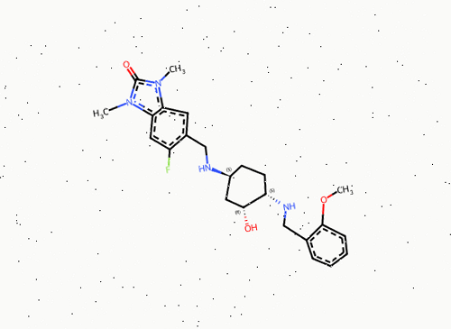 COc1ccccc1CN[C@H]1CC[C@H](NCc2cc3c(cc2F)n(C)c(=O)n3C)C[C@H]1O